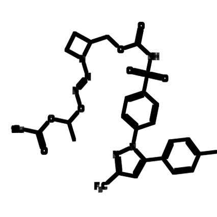 Cc1ccc(-c2cc(C(F)(F)F)nn2-c2ccc(S(=O)(=O)NC(=O)OCC3CCN3N=NOC(C)OC(=O)C(C)(C)C)cc2)cc1